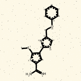 CSc1sc(C(=N)N)cc1-c1nc(COc2ccccc2)cs1